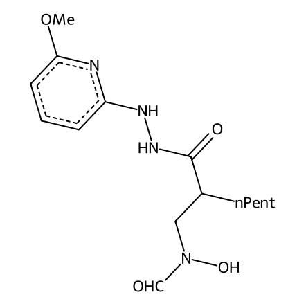 CCCCCC(CN(O)C=O)C(=O)NNc1cccc(OC)n1